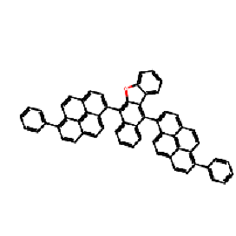 c1ccc(-c2ccc3ccc4c(-c5c6ccccc6c(-c6ccc7ccc8c(-c9ccccc9)ccc9ccc6c7c98)c6c5oc5ccccc56)ccc5ccc2c3c54)cc1